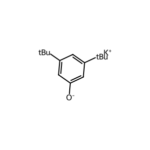 CC(C)(C)c1cc([O-])cc(C(C)(C)C)c1.[K+]